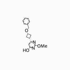 COc1nc(O)cc([C@H]2C[C@@H](OCc3ccccc3)C2)n1